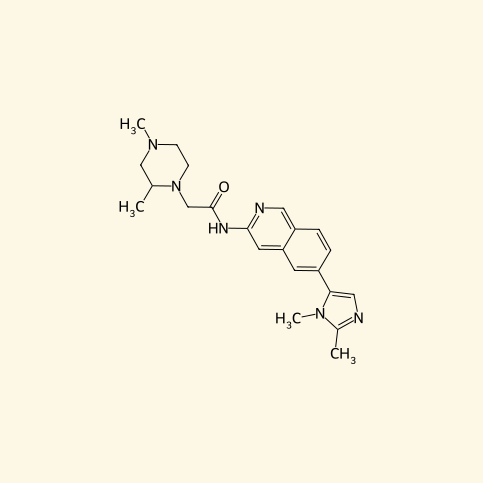 Cc1ncc(-c2ccc3cnc(NC(=O)CN4CCN(C)CC4C)cc3c2)n1C